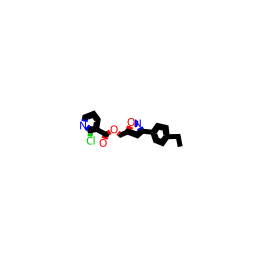 CCc1ccc(-c2cc(COC(=O)c3cccnc3Cl)on2)cc1